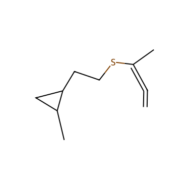 C=C=C(C)SCCC1CC1C